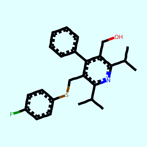 CC(C)c1nc(C(C)C)c(CSc2ccc(F)cc2)c(-c2ccccc2)c1CO